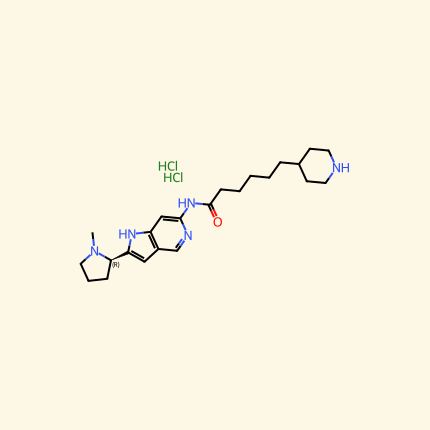 CN1CCC[C@@H]1c1cc2cnc(NC(=O)CCCCCC3CCNCC3)cc2[nH]1.Cl.Cl